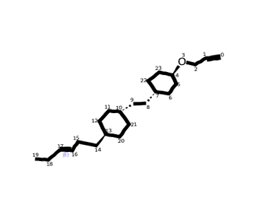 C=CCO[C@H]1CC[C@H](CC[C@H]2CC[C@H](CC/C=C/CC)CC2)CC1